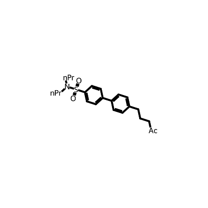 CCCN(CCC)S(=O)(=O)c1ccc(-c2ccc(CCCC(C)=O)cc2)cc1